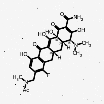 CC(=O)N(C)Cc1cc(O)c2c(c1F)C[C@H]1C[C@H]3[C@H](N(C)C)C(O)=C(C(N)=O)C(=O)[C@@]3(O)C(O)=C1C2=O